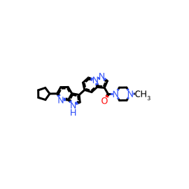 CN1CCN(C(=O)c2cnn3ccc(-c4c[nH]c5nc(C6CCCC6)ccc45)cc23)CC1